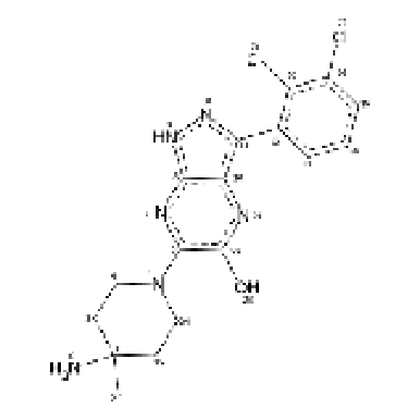 CC1(N)CCN(c2nc3[nH]nc(-c4cccc(Cl)c4Cl)c3nc2O)CC1